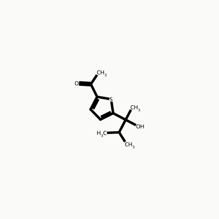 CC(=O)c1ccc(C(C)(O)C(C)C)s1